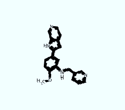 COc1ccc(-c2cc3ccncc3[nH]2)cc1NCc1cccnc1